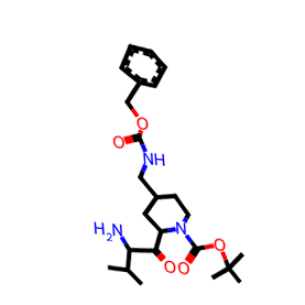 CC(C)C(N)C(=O)C1CC(CNC(=O)OCc2ccccc2)CCN1C(=O)OC(C)(C)C